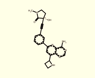 CN1CC[C@@](O)(C#Cc2cccc(-c3cc(C4CCN4)c4ncnc(N)c4n3)c2)C1=O